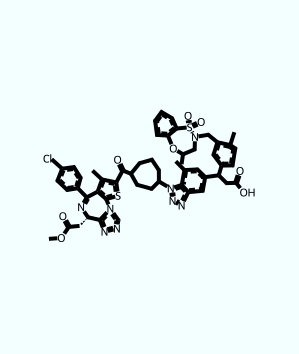 COC(=O)C[C@@H]1N=C(c2ccc(Cl)cc2)c2c(sc(C(=O)C3CCCC(n4nnc5cc(C(CC(=O)O)c6ccc(C)c(CN7CC(C)Oc8ccccc8S7(=O)=O)c6)cc(C)c54)CC3)c2C)-n2cnnc21